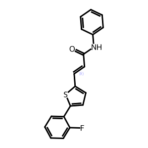 O=C(/C=C/c1ccc(-c2ccccc2F)s1)Nc1ccccc1